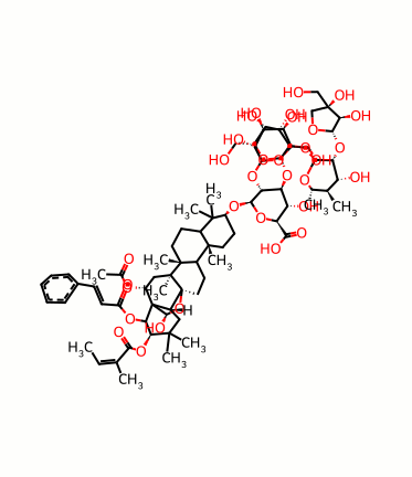 C/C=C(/C)C(=O)O[C@H]1C(OC(=O)/C=C/c2ccccc2)C23[C@H](O)O[C@@]4(CCC5[C@@]6(C)CC[C@H](O[C@@H]7O[C@H](C(=O)O)[C@@H](O)[C@H](O[C@@H]8O[C@H](CO)[C@H](O)[C@H](O)C8O[C@@H]8O[C@@H](C)[C@H](C)[C@@H](O)[C@H]8O[C@@H]8OC[C@](O)(CO)[C@H]8O)[C@H]7OC7O[C@H](CO)[C@H](O)[C@H](O)[C@H]7O)C(C)(C)C6CC[C@@]5(C)[C@]4(C)C[C@H]2OC(C)=O)[C@@H]3CC1(C)C